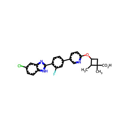 CC1C(Oc2ccc(-c3ccc(-c4nc5cc(Cl)ccc5[nH]4)c(F)c3)cn2)CC1(C)C(=O)O